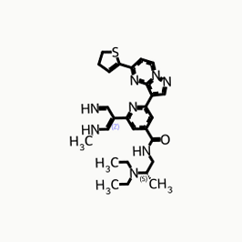 CCN(CC)[C@@H](C)CNC(=O)c1cc(/C(C=N)=C/NC)nc(-c2cnn3ccc(C4=CCCS4)nc23)c1